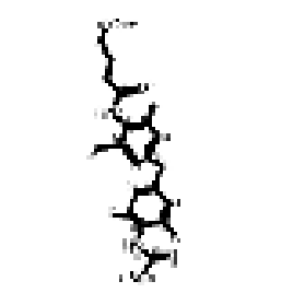 CCCCCCCCCCCCCC(=O)Nc1c(C)cc(Cc2cc(C)c(NC(=O)CCCC)c(C)c2)cc1C